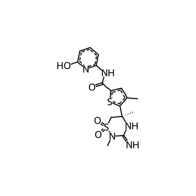 Cc1cc(C(=O)Nc2cccc(O)n2)sc1[C@]1(C)CS(=O)(=O)N(C)C(=N)N1